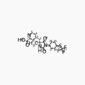 CC1(Cc2ccnc(C(=O)O)c2)NC(=O)N(c2ccc(SC(F)(F)F)cc2)C1=O